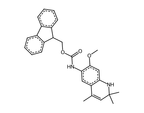 COc1cc2c(cc1NC(=O)OCC1c3ccccc3-c3ccccc31)C(C)=CC(C)(C)N2